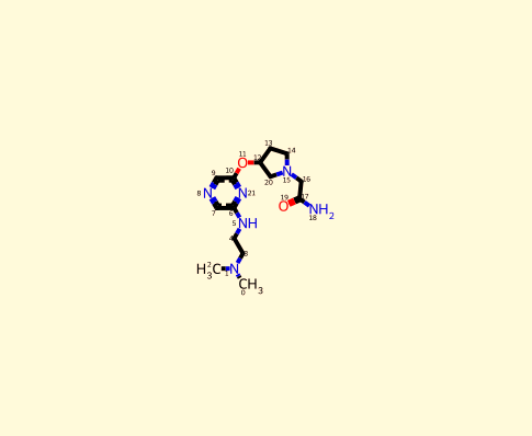 CN(C)CCNc1cncc(OC2CCN(CC(N)=O)C2)n1